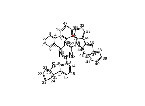 c1ccc(-c2ccccc2-c2nc(-c3cccc4c3sc3ccccc34)nc(-n3c4ccccc4c4cc5ccccc5cc43)n2)cc1